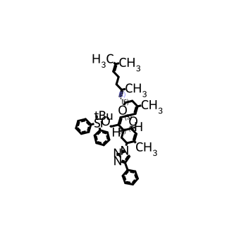 CC(C)=CCC/C(C)=C/[C@@H]1CC(C)=C[C@]2(C=C(CO[Si](c3ccccc3)(c3ccccc3)C(C)(C)C)[C@H]3CC(n4cc(-c5ccccc5)nn4)C(C)=C[C@H]3O2)O1